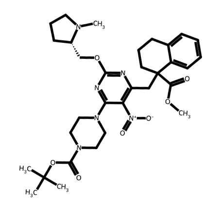 COC(=O)C1(Cc2nc(OC[C@@H]3CCCN3C)nc(N3CCN(C(=O)OC(C)(C)C)CC3)c2[N+](=O)[O-])CCCc2ccccc21